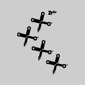 O=S(=O)([O-])F.O=S(=O)([O-])F.O=S(=O)([O-])F.O=S(=O)([O-])F.[Zr+4]